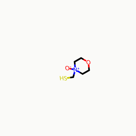 [O-][N+]1(CS)CCOCC1